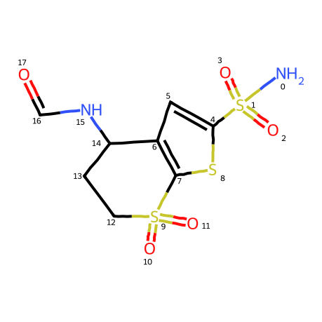 NS(=O)(=O)c1cc2c(s1)S(=O)(=O)CCC2NC=O